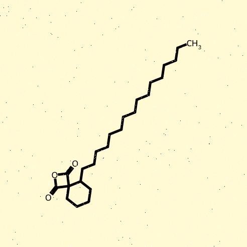 CCCCCCCCCCCCCCCCC1CCCCC12C(=O)OC2=O